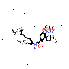 CCCCCCC(CC)NCC(O)c1ccc(NS(C)(=O)=O)c(C)c1